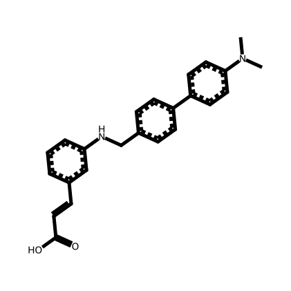 CN(C)c1ccc(-c2ccc(CNc3cccc(/C=C/C(=O)O)c3)cc2)cc1